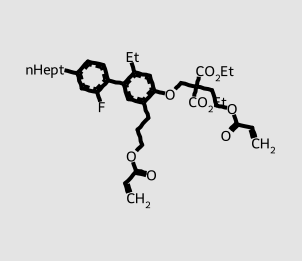 C=CC(=O)OCCCc1cc(-c2ccc(CCCCCCC)cc2F)c(CC)cc1OCC(CCOC(=O)C=C)(C(=O)OCC)C(=O)OCC